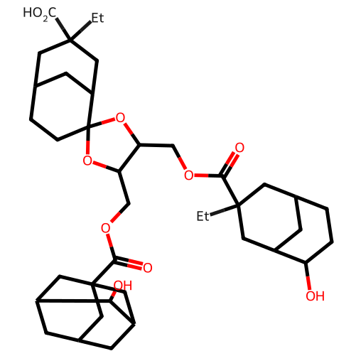 CCC1(C(=O)O)CC2CCC3(OC(COC(=O)C4(CC)CC5CCC(O)C(C5)C4)C(COC(=O)C45CC6CC(C4)C(O)C(C6)C5)O3)C(C2)C1